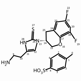 Cc1ccc(S(=O)(=O)O)cc1.NCCc1cn([C@H]2COc3c(F)cc(F)cc3C2)c(=S)[nH]1